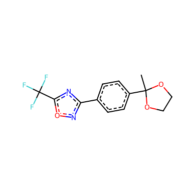 CC1(c2ccc(-c3noc(C(F)(F)F)n3)cc2)OCCO1